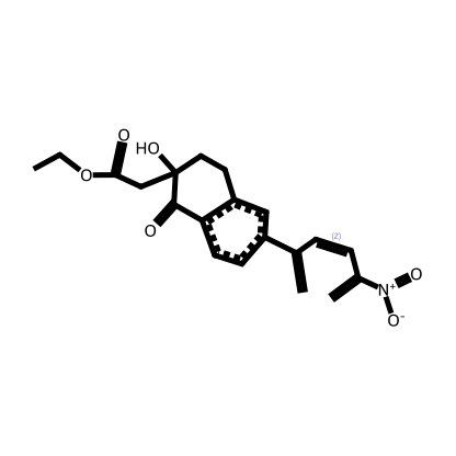 C=C(/C=C\C(=C)[N+](=O)[O-])c1ccc2c(c1)CCC(O)(CC(=O)OCC)C2=O